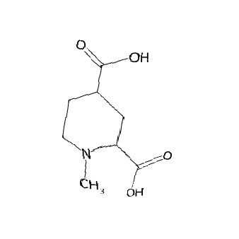 CN1CCC(C(=O)O)CC1C(=O)O